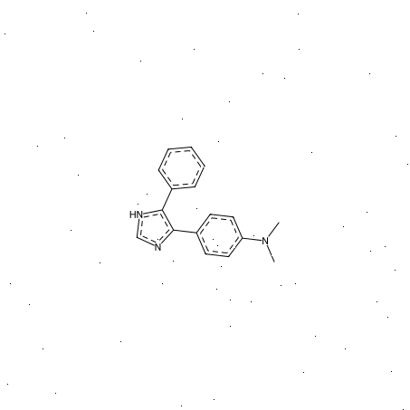 CN(C)c1ccc(-c2nc[nH]c2-c2ccccc2)cc1